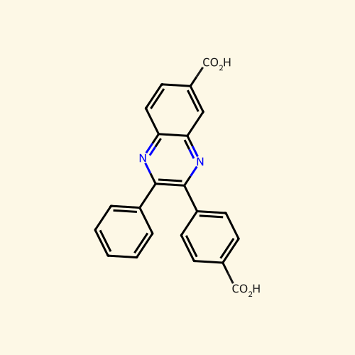 O=C(O)c1ccc(-c2nc3cc(C(=O)O)ccc3nc2-c2ccccc2)cc1